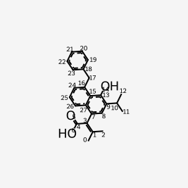 CC(C)=C(C(=O)O)c1cc(C(C)C)c(O)c2c(Cc3ccccc3)cccc12